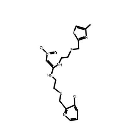 Cc1csc(CSCCNC(=C[N+](=O)[O-])NCCSCc2ncccc2Cl)n1